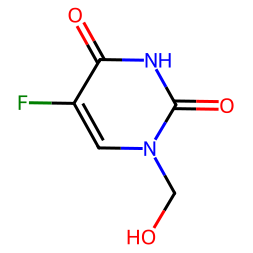 O=c1[nH]c(=O)n(CO)cc1F